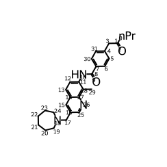 CCCC(=O)Cc1ccc(C(=O)Nc2ccc3cc(CN4CCCCCC4)cnc3c2C)cc1